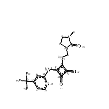 CN1CCN(CNc2c(Nc3cc(C(F)(F)F)ccn3)c(=O)c2=O)C1=O